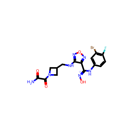 NC(=O)C(=O)N1CC(CNc2nonc2/C(=N/O)Nc2ccc(F)c(Br)c2)C1